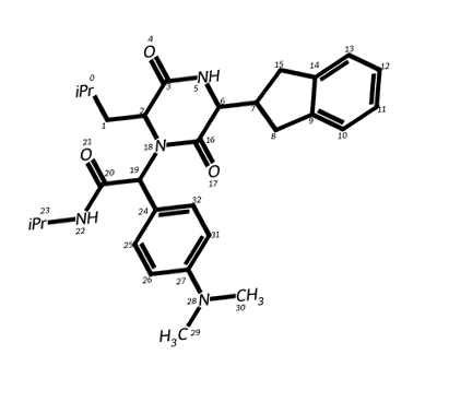 CC(C)CC1C(=O)NC(C2Cc3ccccc3C2)C(=O)N1C(C(=O)NC(C)C)c1ccc(N(C)C)cc1